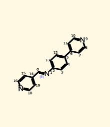 C(=N\c1ccc(-c2ccncc2)cc1)/c1ccncc1